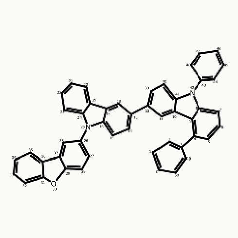 c1ccc(-c2cccc3c2c2cc(-c4ccc5c(c4)c4ccccc4n5-c4ccc5oc6ccccc6c5c4)ccc2n3-c2ccccc2)cc1